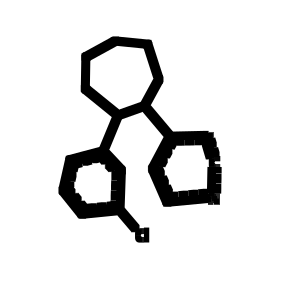 Clc1cccc(C2CCCCCC2c2ccncc2)c1